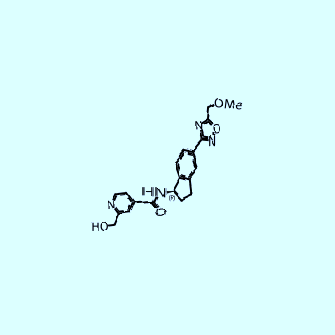 COCc1nc(-c2ccc3c(c2)CC[C@H]3NC(=O)c2ccnc(CO)c2)no1